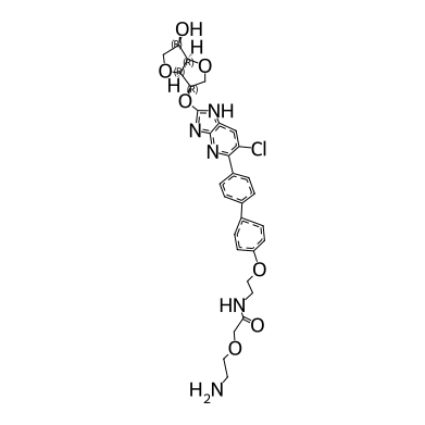 NCCOCC(=O)NCCOc1ccc(-c2ccc(-c3nc4nc(O[C@@H]5CO[C@H]6[C@@H]5OC[C@H]6O)[nH]c4cc3Cl)cc2)cc1